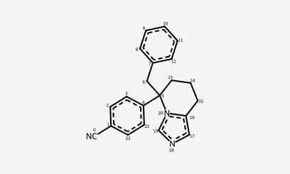 N#Cc1ccc(C2(Cc3ccccc3)CCCc3cncn32)cc1